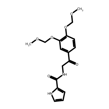 COCOc1ccc(C(=O)CNC(=O)c2ccc[nH]2)cc1OCOC